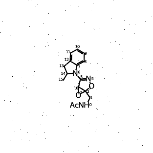 CC(=O)NCC12ON=C(N3c4ccccc4CC3C)C1O2